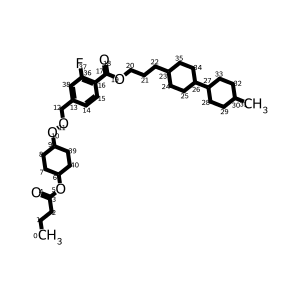 CCCC(=O)OC1CCC(OOCc2ccc(C(=O)OCCCC3CCC(C4CCC(C)CC4)CC3)c(F)c2)CC1